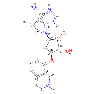 CN1CCc2cccc(O[C@H]3C[C@@H](n4cc(F)c5c(N)ncnc54)[C@H](O)[C@@H]3O)c2C1